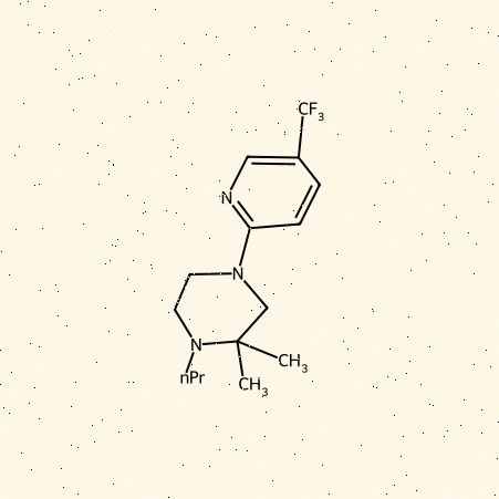 CCCN1CCN(c2ccc(C(F)(F)F)cn2)CC1(C)C